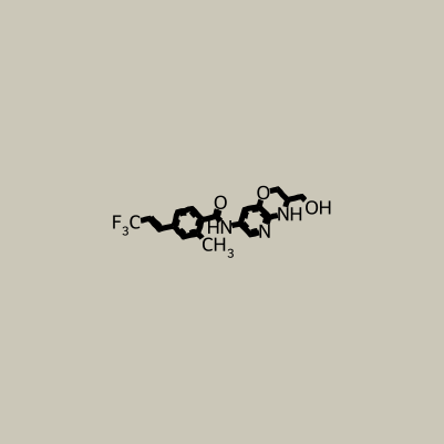 Cc1cc(/C=C/C(F)(F)F)ccc1C(=O)Nc1cnc2c(c1)OCC(CO)N2